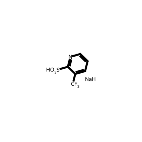 O=S(=O)(O)c1ncccc1C(F)(F)F.[NaH]